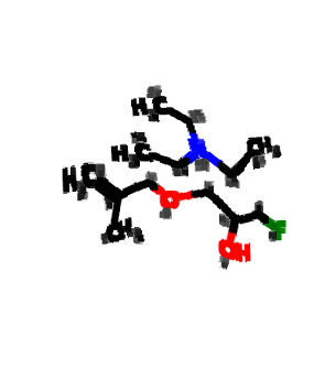 C=C(C)COCC(O)CF.CCN(CC)CC